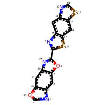 c1nc2cc3oc(-c4nc5cc6ncsc6cc5s4)nc3cc2o1